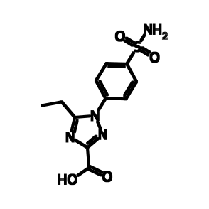 CCc1nc(C(=O)O)nn1-c1ccc(S(N)(=O)=O)cc1